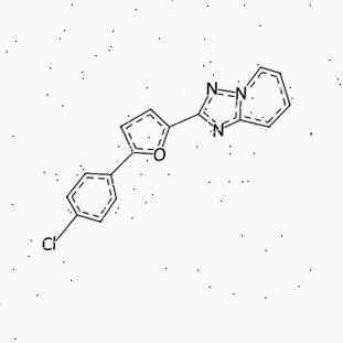 Clc1ccc(-c2ccc(-c3nc4ccccn4n3)o2)cc1